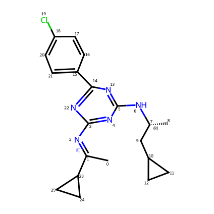 C/C(=N\c1nc(N[C@H](C)CC2CC2)nc(-c2ccc(Cl)cc2)n1)C1CC1